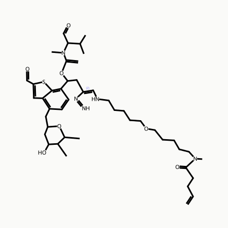 C=CCCC(=O)N(C)CCCCCOCCCCCN/C=C(/CC(OC(=C)N(C)C(C=O)C(C)C)c1ccc(CC2CC(O)C(C)C(C)O2)c2cc(C=O)sc12)N=N